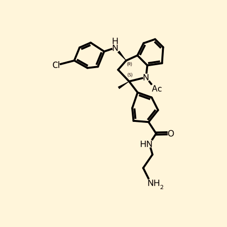 CC(=O)N1c2ccccc2[C@H](Nc2ccc(Cl)cc2)C[C@@]1(C)c1ccc(C(=O)NCCN)cc1